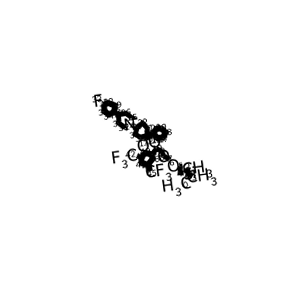 C[Si](C)(C)CCOCOCC(OC(=O)C1(c2ccccc2)CCC(N2CCC(c3ccc(F)cc3)CC2)CC1)c1cc(C(F)(F)F)cc(C(F)(F)F)c1